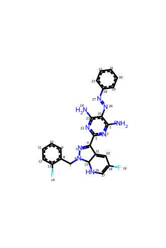 Nc1nc(C2=NN(Cc3ccccc3F)C3NC=C(F)C=C23)nc(N)c1/N=N/c1ccccc1